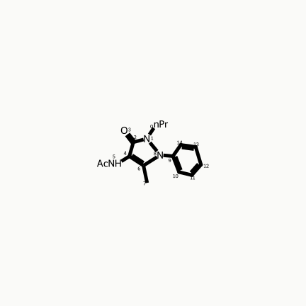 CCCn1c(=O)c(NC(C)=O)c(C)n1-c1ccccc1